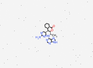 CC(Nc1ncnc2[nH]cnc12)c1oc(=O)c2ccccc2c1-c1cnc(N)nc1